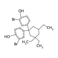 CCC1CC(CC)(CC)CC(c2ccc(O)c(Br)c2)(c2ccc(O)c(Br)c2)C1